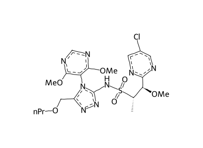 CCCOCc1nnc(NS(=O)(=O)[C@@H](C)[C@H](OC)c2ncc(Cl)cn2)n1-c1c(OC)ncnc1OC